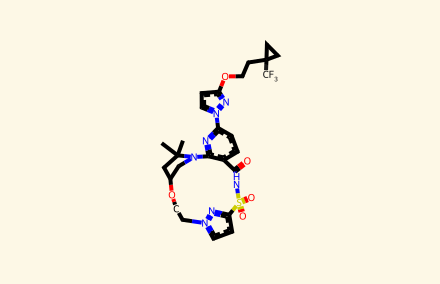 CC1(C)CC2CN1c1nc(-n3ccc(OCCC4(C(F)(F)F)CC4)n3)ccc1C(=O)NS(=O)(=O)c1ccn(n1)CCO2